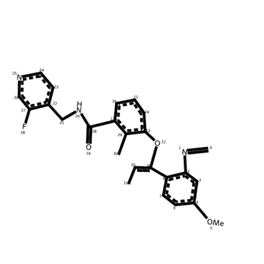 C=Nc1cc(OC)ccc1/C(=C\C)Oc1cccc(C(=O)NCc2ccncc2F)c1C